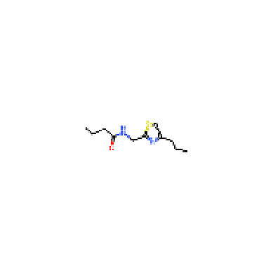 CCCC(=O)NCc1nc(CCC)cs1